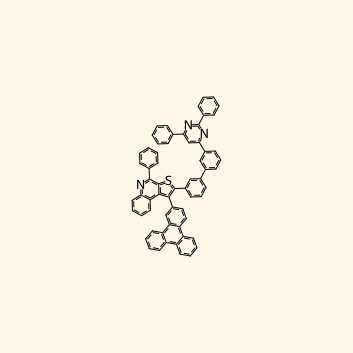 c1ccc(-c2cc(-c3cccc(-c4cccc(-c5sc6c(-c7ccccc7)nc7ccccc7c6c5-c5ccc6c7ccccc7c7ccccc7c6c5)c4)c3)nc(-c3ccccc3)n2)cc1